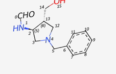 O=CN[C@@H]1CN(Cc2ccccc2)C[C@H]1CO